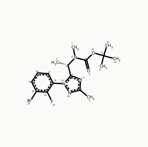 Cc1nc([C@H](C)N(C)C(=O)OC(C)(C)C)n(-c2cccc(Br)c2F)n1